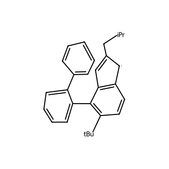 CC(C)CC1=Cc2c(ccc(C(C)(C)C)c2-c2ccccc2-c2ccccc2)[CH]1